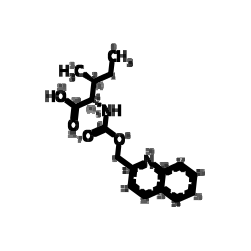 CC[C@H](C)[C@H](NC(=O)OCc1ccc2ccccc2n1)C(=O)O